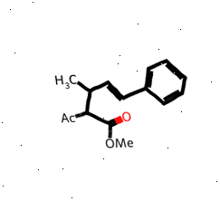 COC(=O)C(C(C)=O)C(C)/C=C/c1ccccc1